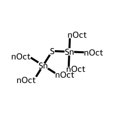 CCCCCCC[CH2][Sn]([CH2]CCCCCCC)([CH2]CCCCCCC)[S][Sn]([CH2]CCCCCCC)([CH2]CCCCCCC)[CH2]CCCCCCC